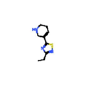 CCc1nsc(C2=CCCNC2)n1